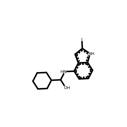 OC(Nc1cccc2[nH]c(I)cc12)C1CCCCC1